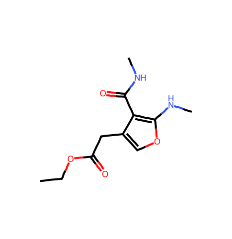 CCOC(=O)Cc1coc(NC)c1C(=O)NC